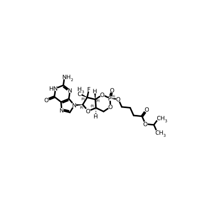 CC(C)OC(=O)CCCO[P@@]1(=O)OC[C@H]2O[C@@H](n3cnc4c(=O)[nH]c(N)nc43)[C@](C)(F)[C@@H]2O1